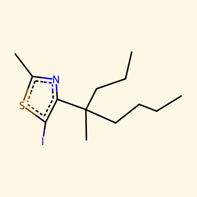 CCCCC(C)(CCC)c1nc(C)sc1I